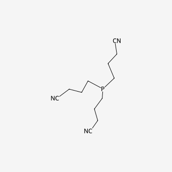 N#CCCCP(CCCC#N)CCCC#N